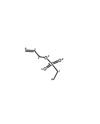 C=C[CH]OS(=O)(=O)CC